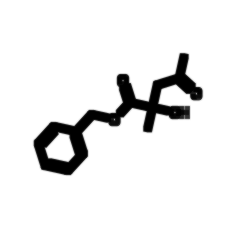 CC(=O)CC(C)(O)C(=O)OCc1ccccc1